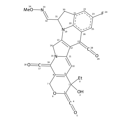 CCC1(O)C(=C=O)OCC2=C1C=C1C3=C(CN1C2=C=O)N1c2c(cc(F)cc2C3=C=O)CC1/C=N/OC